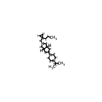 CCCC1(CN2C[C@H]3CC(N4CCN(C(C)C)CC4)C[C@H]3C2)CC1